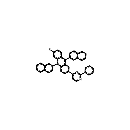 Fc1ccc2c(-c3ccc4ccccc4c3)c3cc(-c4ccnc(-c5ccccc5)n4)ccc3c(-c3ccc4ccccc4c3)c2c1